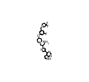 NCC(CN1CCC(Oc2cc(F)cc(CN3CCC(F)(F)C3)c2)CC1)n1cc(-c2ncnc3[nH]ccc23)cn1